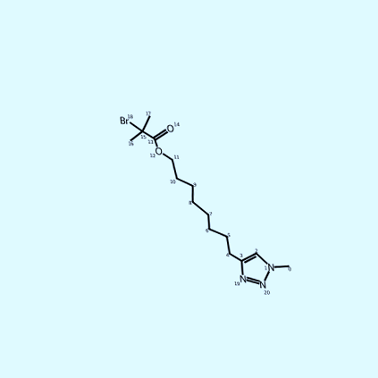 Cn1cc(CCCCCCCCOC(=O)C(C)(C)Br)nn1